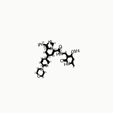 COc1cc(C)[nH]c(=O)c1CNC(=O)c1cc(-c2ccc(N3CCOCC3)nc2)cc2c(C(C)C)ncn12